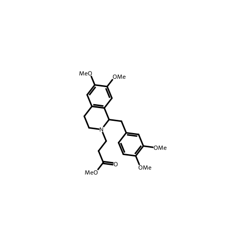 COC(=O)CCN1CCc2cc(OC)c(OC)cc2C1Cc1ccc(OC)c(OC)c1